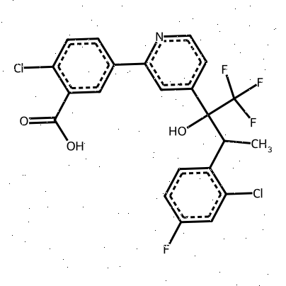 CC(c1ccc(F)cc1Cl)C(O)(c1ccnc(-c2ccc(Cl)c(C(=O)O)c2)c1)C(F)(F)F